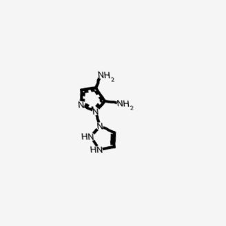 Nc1cnn(N2C=CNN2)c1N